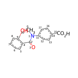 CN(C(=O)c1ccccc1O)c1ccc(C(=O)O)cc1